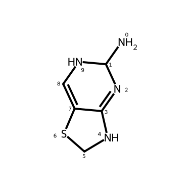 NC1N=C2NCSC2=CN1